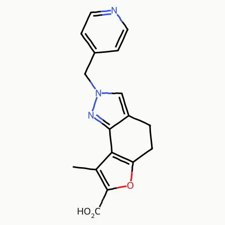 Cc1c(C(=O)O)oc2c1-c1nn(Cc3ccncc3)cc1CC2